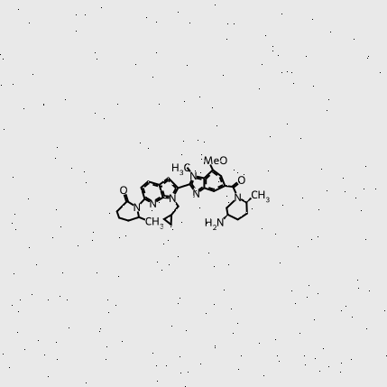 COc1cc(C(=O)N2C[C@H](N)CC[C@@H]2C)cc2nc(-c3cc4ccc(N5C(=O)CCCC5C)nc4n3CC3CC3)n(C)c12